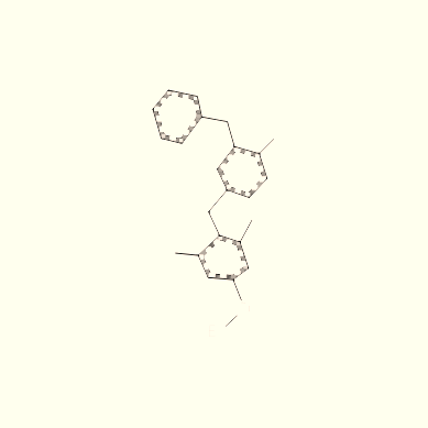 CCOc1cc(C)c(Cc2ccc(C)c(Cc3ccccc3)c2)c(C)c1